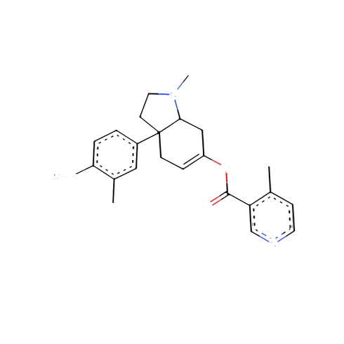 COc1ccc(C23CC=C(OC(=O)c4cnccc4C)CC2N(C)CC3)cc1C